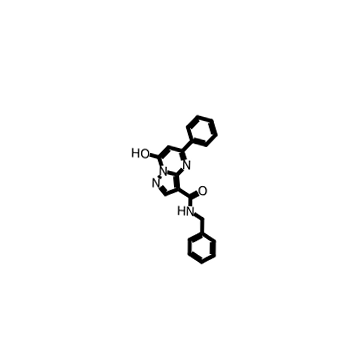 O=C(NCc1ccccc1)c1cnn2c(O)cc(-c3ccccc3)nc12